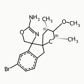 COC1[C@H](C)CC2(Cc3ccc(Br)cc3C23COC(N)=N3)C[C@@H]1C